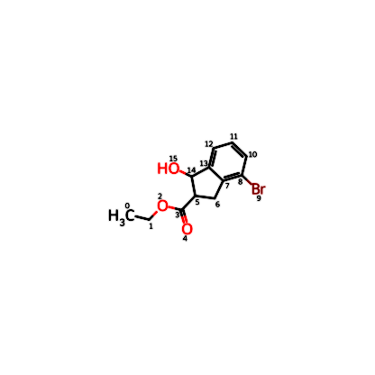 CCOC(=O)C1Cc2c(Br)cccc2C1O